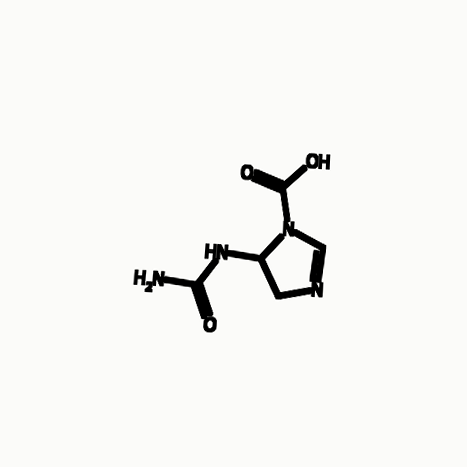 NC(=O)NC1CN=CN1C(=O)O